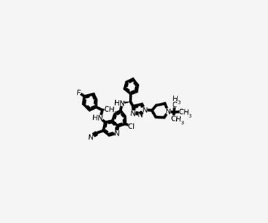 C[C@@H](Nc1c(C#N)cnc2c(Cl)cc(N[C@@H](c3ccccc3)c3cn(C4CCN(C(C)(C)C)CC4)nn3)cc12)c1ccc(F)cc1